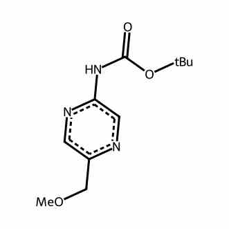 COCc1cnc(NC(=O)OC(C)(C)C)cn1